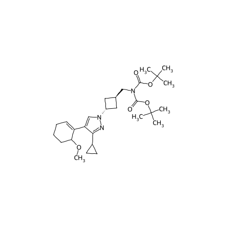 COC1CCCC=C1c1cn([C@H]2C[C@H](CN(C(=O)OC(C)(C)C)C(=O)OC(C)(C)C)C2)nc1C1CC1